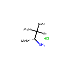 CCC(NC)(NC)[C@H](N)NC.Cl